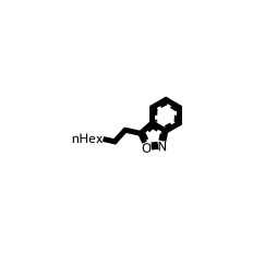 CCCCCCCCc1onc2ccccc12